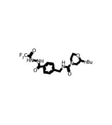 CCCCC1CN(C(=O)NCc2ccc(C(=O)NNC(=O)C(F)(F)F)cc2)CCO1